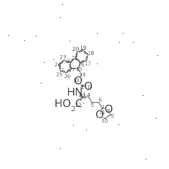 O=C(N[C@@H](CCCC1OCCO1)C(=O)O)OCC1c2ccccc2-c2ccccc21